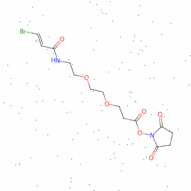 O=C(/C=C/Br)NCCOCCOCCC(=O)ON1C(=O)CCC1=O